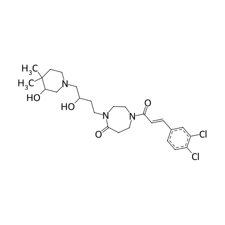 CC1(C)CCN(CC(O)CCN2CCN(C(=O)C=Cc3ccc(Cl)c(Cl)c3)CCC2=O)CC1O